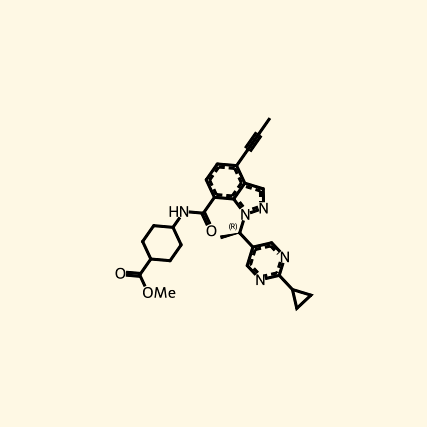 CC#Cc1ccc(C(=O)NC2CCC(C(=O)OC)CC2)c2c1cnn2[C@H](C)c1cnc(C2CC2)nc1